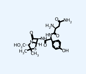 CC1(C)S[C@@H]2[C@H](NC(=O)C(NC(=O)[C@@H](N)CC(N)=O)c3ccc(O)cc3)C(=O)N2[C@H]1C(=O)O